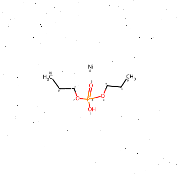 CCCOP(=O)(O)OCCC.[Ni]